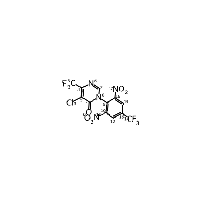 O=c1c(Cl)c(C(F)(F)F)ncn1-c1c([N+](=O)[O-])cc(C(F)(F)F)cc1[N+](=O)[O-]